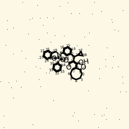 O=C1CCCCCc2oc(=O)c(C(c3cccc(N(Cc4ccccc4)S(=O)(=O)c4ccccc4)c3)C3CC3)c(O)c21